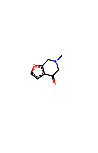 CN1CC(=O)c2ccoc2C1